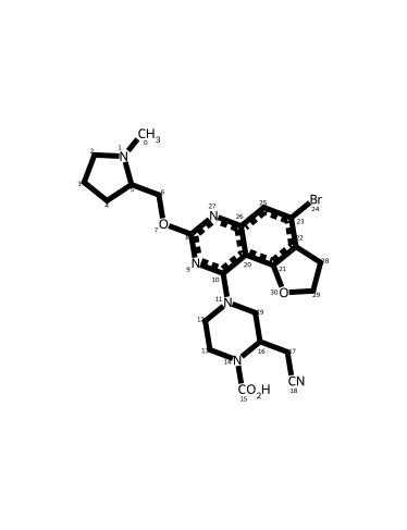 CN1CCCC1COc1nc(N2CCN(C(=O)O)C(CC#N)C2)c2c3c(c(Br)cc2n1)CCO3